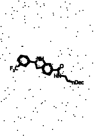 CCCCCCCCCCCCNC(=O)c1ccc(CC([NH])c2cccc(C(F)(F)F)c2)c(Br)c1